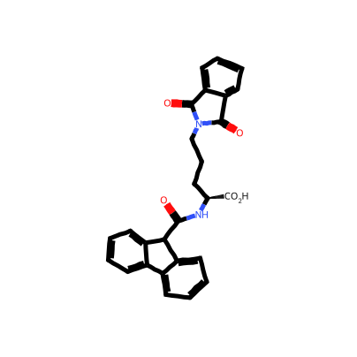 O=C(N[C@@H](CCCN1C(=O)c2ccccc2C1=O)C(=O)O)C1c2ccccc2-c2ccccc21